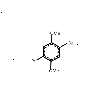 CCC(C)c1cc(OC)c(C(C)C)cc1OC